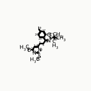 COc1cc(CC/C(=N/[S@+]([O-])C(C)(C)C)c2ccc(I)cc2)nc(SC)n1